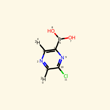 [2H]c1nc([2H])c(B(O)O)nc1Cl